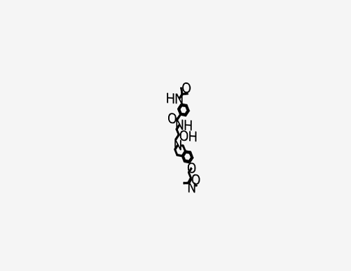 Cc1ncoc1COc1ccc2c(c1)CCN(CC(O)CNC(=O)c1cccc(NC3COC3)c1)C2